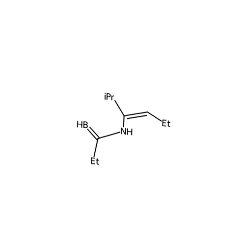 B=C(CC)N/C(=C\CC)C(C)C